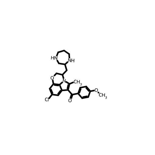 COc1ccc(C(=O)c2c(C)n3c4c(cc(Cl)cc24)OCC3CC2CNCCCN2)cc1